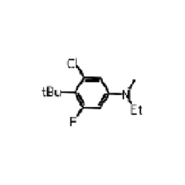 CCN(C)c1cc(F)c(C(C)(C)C)c(Cl)c1